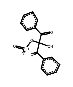 O=C(c1ccccc1)C(O)(O[SH](=O)=O)C(=O)c1ccccc1